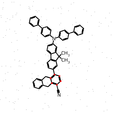 CC1(C)c2cc(-c3ccc(C#N)c4c3C3c5ccccc5C4c4ccccc43)ccc2-c2ccc(N(c3ccc(-c4ccccc4)cc3)c3ccc(-c4ccccc4)cc3)cc21